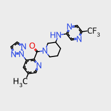 Cc1cnc(C(=O)N2CCCC(Nc3cnc(C(F)(F)F)cn3)C2)c(-n2nccn2)c1